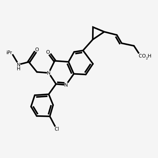 CC(C)NC(=O)Cn1c(-c2cccc(Cl)c2)nc2ccc(C3CC3C=CCC(=O)O)cc2c1=O